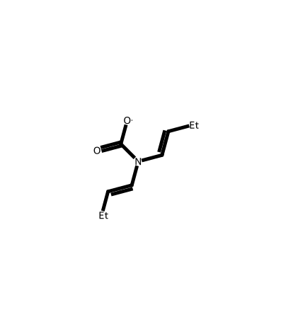 CCC=CN(C=CCC)C([O])=O